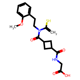 C=C(S)N(CCc1ccccc1OC)C(=O)C1CC(C(=O)NCC(=O)O)C1